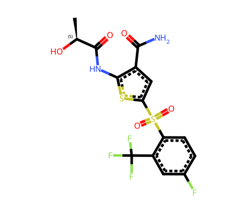 C[C@H](O)C(=O)Nc1sc(S(=O)(=O)c2ccc(F)cc2C(F)(F)F)cc1C(N)=O